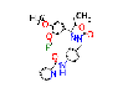 CCC1OC(=O)N(Cc2ccc(NC(=O)c3ccccn3)cc2)N=C1c1ccc(OC)c(OCF)c1